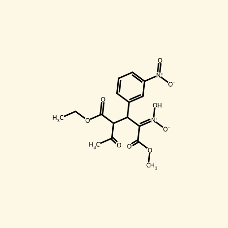 CCOC(=O)C(C(C)=O)C(C(C(=O)OC)=[N+]([O-])O)c1cccc([N+](=O)[O-])c1